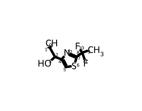 C#CC(O)c1csc(C(C)(F)F)n1